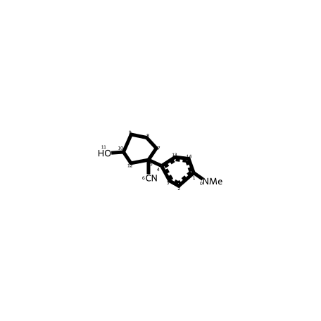 CNc1ccc(C2(C#N)CCCC(O)C2)cc1